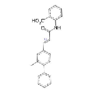 Cc1cc(/C=C/C(=O)Nc2ccccc2C(=O)O)ccc1-c1ccccc1